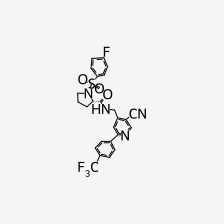 N#Cc1cnc(-c2ccc(C(F)(F)F)cc2)cc1CNC(=O)[C@@H]1CCCN1S(=O)(=O)c1ccc(F)cc1